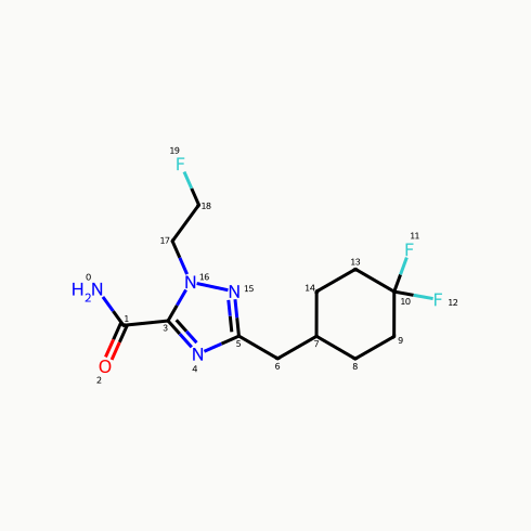 NC(=O)c1nc(CC2CCC(F)(F)CC2)nn1CCF